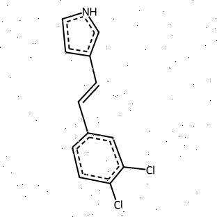 Clc1ccc(/C=C/c2cc[nH]c2)cc1Cl